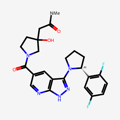 CNC(=O)CC1(O)CCN(C(=O)c2cnc3[nH]nc(N4CCC[C@@H]4c4cc(F)ccc4F)c3c2)C1